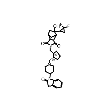 O=C1C2C3CC(C2C(=O)N1C[C@H]1CCC[C@@H]1CN1CCC(N2C(=O)Cc4ccccc42)CC1)C(O)(C1CC1(F)F)C3